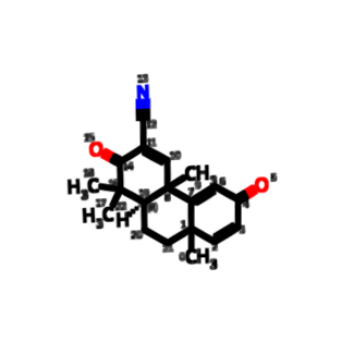 CC12C=CC(=O)C=C1C1(C)C=C(C#N)C(=O)C(C)(C)[C@@H]1CC2